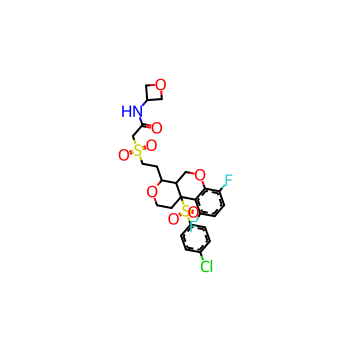 O=C(CS(=O)(=O)CCC1OCCC2(S(=O)(=O)c3ccc(Cl)cc3)c3c(F)ccc(F)c3OCC12)NC1COC1